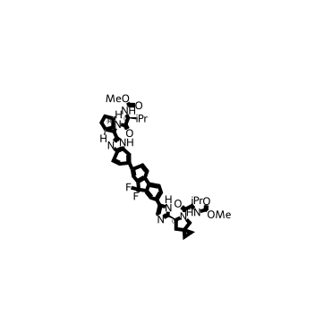 COC(=O)N[C@H](C(=O)N1CC2(CC2)C[C@H]1c1ncc(-c2ccc3c(c2)C(F)(F)c2cc(-c4ccc5nc(C6[C@H]7CC[C@H](C7)N6C(=O)[C@@H](NC(=O)OC)C(C)C)[nH]c5c4)ccc2-3)[nH]1)C(C)C